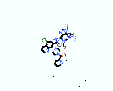 C=c1[nH]cn/c1=C(/N=C\N)NC(C)c1cc(Cl)c2cccnc2c1N1CCN(C(=O)c2ccccn2)CC1